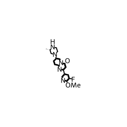 COc1ncc(-c2cc(=O)n3cc(N4CCN[C@@H](C)C4)ccc3n2)cc1F